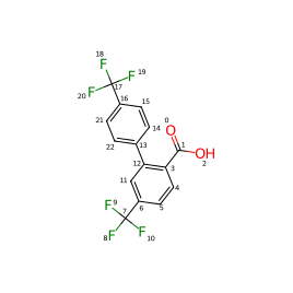 O=C(O)c1ccc(C(F)(F)F)cc1-c1ccc(C(F)(F)F)cc1